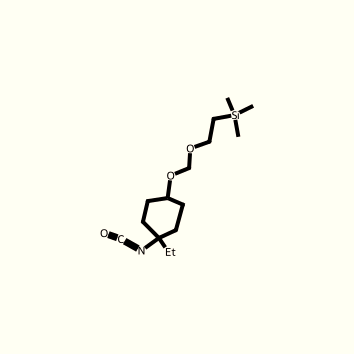 CCC1(N=C=O)CCC(OCOCC[Si](C)(C)C)CC1